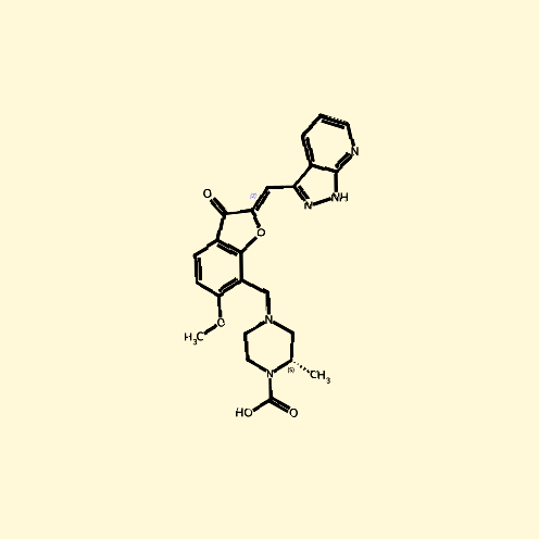 COc1ccc2c(c1CN1CCN(C(=O)O)[C@@H](C)C1)O/C(=C\c1n[nH]c3ncccc13)C2=O